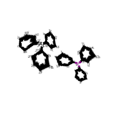 c1ccc(P(c2ccccc2)c2ccccc2)cc1.c1ccc([As](c2ccccc2)c2ccccc2)cc1